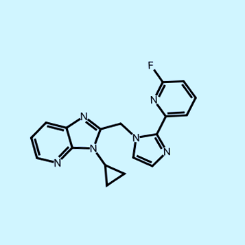 Fc1cccc(-c2nccn2Cc2nc3cccnc3n2C2CC2)n1